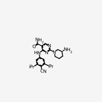 CC(C)c1cc(Nc2nc(N3CCC[C@H](N)C3)ncc2C(N)=O)cc(C(C)C)c1C#N